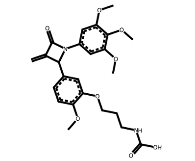 C=C1C(=O)N(c2cc(OC)c(OC)c(OC)c2)C1c1ccc(OC)c(OCCCNC(=O)O)c1